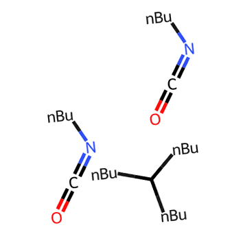 CCCCC(CCCC)CCCC.CCCCN=C=O.CCCCN=C=O